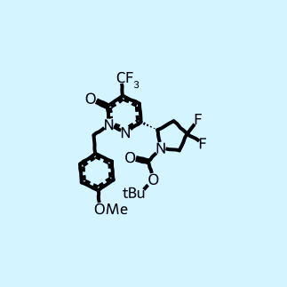 COc1ccc(Cn2nc([C@@H]3CC(F)(F)CN3C(=O)OC(C)(C)C)cc(C(F)(F)F)c2=O)cc1